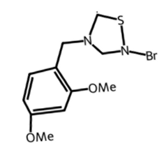 COc1ccc(CN2[CH]SN(Br)C2)c(OC)c1